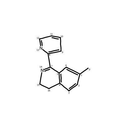 Cc1ccc2c(c1)C(c1ccccn1)=NCC2